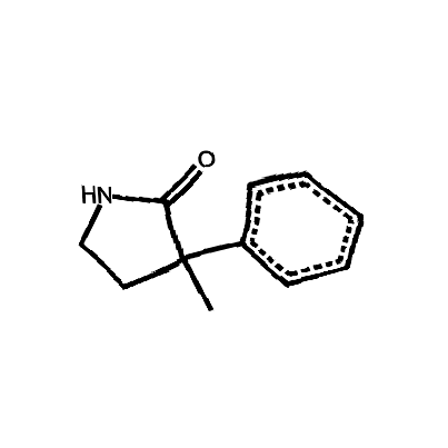 CC1(c2ccccc2)CCNC1=O